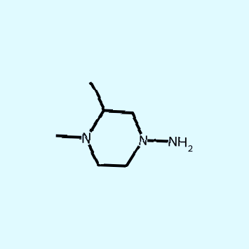 CC1CN(N)CCN1C